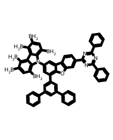 Bc1cc(B)c2c(c1B)c1c(B)c(B)cc(B)c1n2-c1cc(-c2cc(-c3ccccc3)cc(-c3ccccc3)c2)c2oc3cc(-c4nc(-c5ccccc5)nc(-c5ccccc5)n4)ccc3c2c1